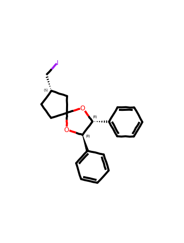 IC[C@H]1CCC2(C1)O[C@H](c1ccccc1)[C@@H](c1ccccc1)O2